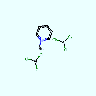 CCCC[n+]1ccccc1.[Cl][Al]([Cl])[Cl].[Cl][Al]([Cl])[Cl]